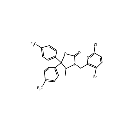 CC1N(Cc2nc(Cl)ccc2Br)C(=O)OC1(c1ccc(C(F)(F)F)cc1)c1ccc(C(F)(F)F)cc1